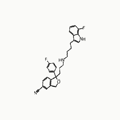 N#Cc1ccc2c(c1)COC2(CCCNCCCCc1c[nH]c2c(F)cccc12)c1ccc(F)cc1